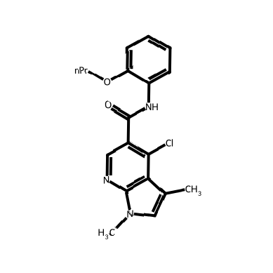 CCCOc1ccccc1NC(=O)c1cnc2c(c(C)cn2C)c1Cl